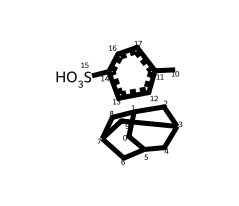 C1C2CC3CC1CC(C2)C3.Cc1ccc(S(=O)(=O)O)cc1